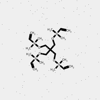 C=C[Si](C)(C)OCC(CO[Si](C)(C)C=C)(CO[Si](C)(C)C=C)CO[Si](C)(C)C=C